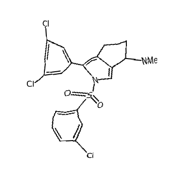 CNC1CCc2c1cn(S(=O)(=O)c1cccc(Cl)c1)c2-c1cc(Cl)cc(Cl)c1